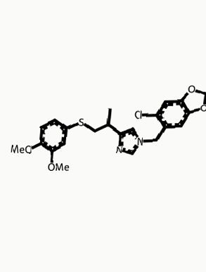 COc1ccc(SCC(C)c2cn(Cc3cc4c(cc3Cl)OCO4)cn2)cc1OC